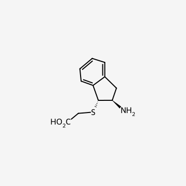 N[C@@H]1Cc2ccccc2[C@H]1SCC(=O)O